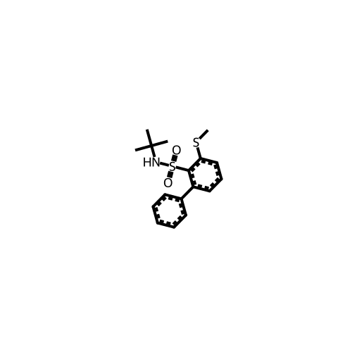 CSc1cccc(-c2ccccc2)c1S(=O)(=O)NC(C)(C)C